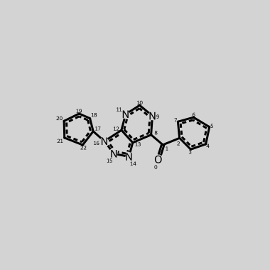 O=C(c1ccccc1)c1ncnc2c1nnn2-c1ccccc1